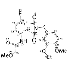 CCOc1nc(CN2C(=O)c3c(F)ccc(NC(=O)COC)c3C2=O)ccc1OC